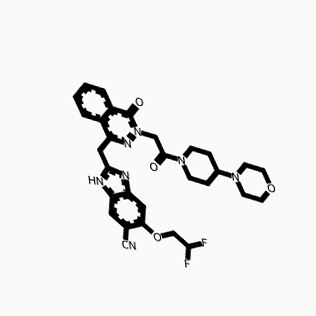 N#Cc1cc2[nH]c(Cc3nn(CC(=O)N4CCC(N5CCOCC5)CC4)c(=O)c4ccccc34)nc2cc1OCC(F)F